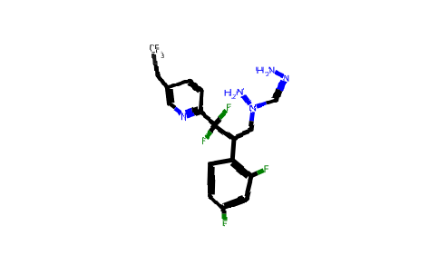 N/N=C\N(N)CC(c1ccc(F)cc1F)C(F)(F)c1ccc(CC(F)(F)F)cn1